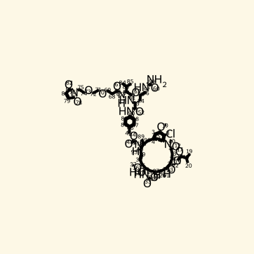 COc1cc2cc(c1Cl)N(C)C(=O)C[C@H](OC(=O)C(C)C)[C@]1(C)O[C@H]1[C@H](C)[C@@H]1C[C@@](O)(NC(=O)O1)[C@H](OC)/C=C/[C@H]1N(C(=O)OCc3ccc(NC(=O)[C@H](CCCNC(N)=O)NC(=O)[C@@H](NC(=O)CCOCCOCCN4C(=O)C=CC4=O)C(C)C)cc3)C1(C)C2